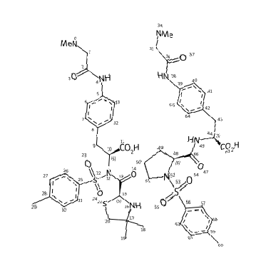 CNCC(=O)Nc1ccc(C[C@@H](C(=O)O)N(C(=O)[C@H]2NC(C)(C)CS2)S(=O)(=O)c2ccc(C)cc2)cc1.CNCC(=O)Nc1ccc(C[C@H](NC(=O)[C@@H]2CCCN2S(=O)(=O)c2ccc(C)cc2)C(=O)O)cc1